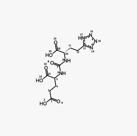 O=C(O)CCC(NC(=O)N[C@@H](CCc1nnn[nH]1)C(=O)O)C(=O)O